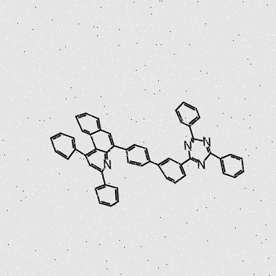 c1ccc(-c2cc(-c3ccccc3)c3c(n2)c(-c2ccc(-c4cccc(-c5nc(-c6ccccc6)nc(-c6ccccc6)n5)c4)cc2)cc2ccccc23)cc1